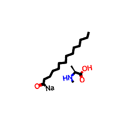 CCCCCCCCCCCCC[C](=O)[Na].CN[C@@H](C)C(=O)O